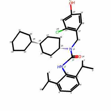 CC(C)c1cccc(C(C)C)c1NC(=O)N(Cc1ccc(O)cc1Cl)[C@H]1CC[C@@H](C2CCCCC2)CC1